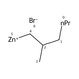 CCCCC(C)[CH2][Zn+].[Br-]